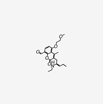 CC/C=C(\Cc1c(C)c2c(OCCOC)ccc(C=O)c2oc1=O)NCC